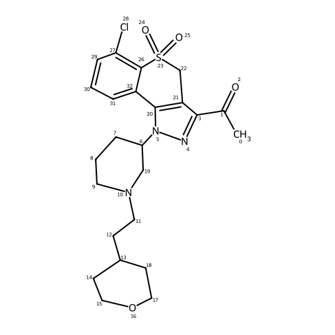 CC(=O)c1nn(C2CCCN(CCC3CCOCC3)C2)c2c1CS(=O)(=O)c1c(Cl)cccc1-2